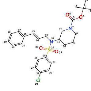 CC(C)(C)OC(=O)N1CCCC(N(CC=Cc2ccccc2)S(=O)(=O)c2ccc(Cl)cc2)C1